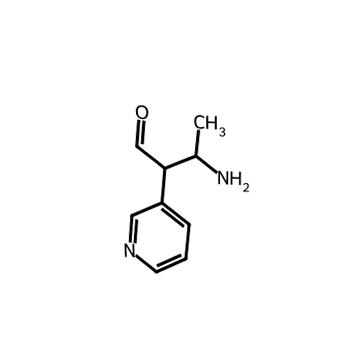 CC(N)C(C=O)c1cccnc1